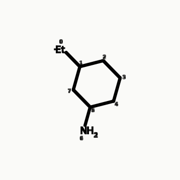 C[CH]C1CCCC(N)C1